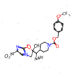 CNC(C1CCN(C(=O)OCc2ccc(OC(F)(F)F)cc2)CC1)C1(C)Cn2cc([N+](=O)[O-])nc2O1